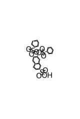 O=S(=O)(O)c1ccc2cc(OS(=O)(=O)c3ccccc3)c(OS(=O)(=O)c3ccccc3)cc2c1